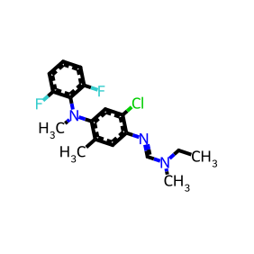 CCN(C)C=Nc1cc(C)c(N(C)c2c(F)cccc2F)cc1Cl